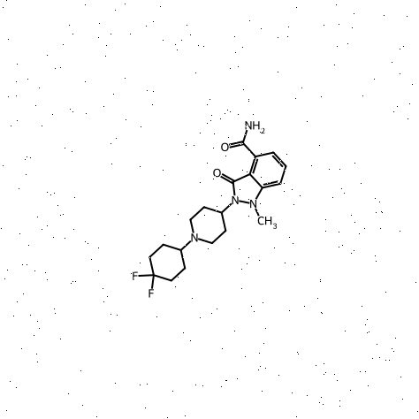 Cn1c2cccc(C(N)=O)c2c(=O)n1C1CCN(C2CCC(F)(F)CC2)CC1